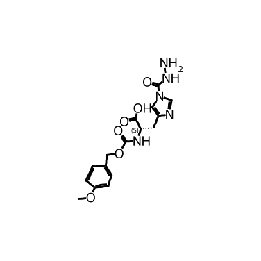 COc1ccc(COC(=O)N[C@@H](Cc2cn(C(=O)NN)cn2)C(=O)O)cc1